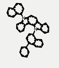 c1ccc(-c2ccc(-n3c4ccccc4c4ccc5c(c6ccccc6n5-c5cccc6ccccc56)c43)c3ccccc23)cc1